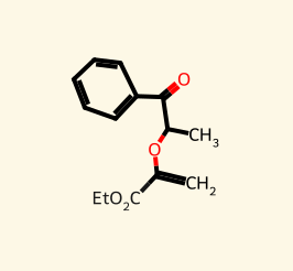 C=C(OC(C)C(=O)c1ccccc1)C(=O)OCC